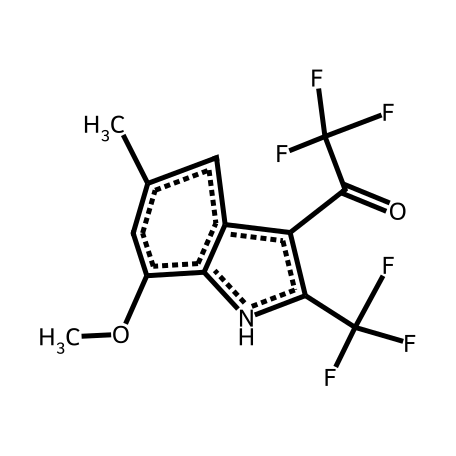 COc1cc(C)cc2c(C(=O)C(F)(F)F)c(C(F)(F)F)[nH]c12